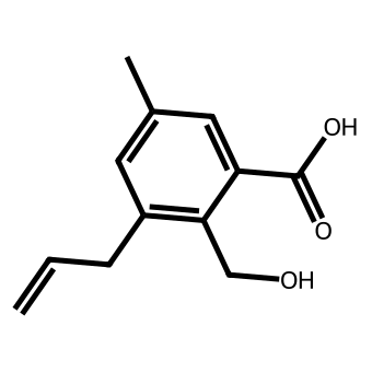 C=CCc1cc(C)cc(C(=O)O)c1CO